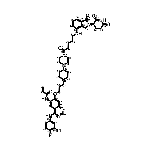 C=CC(=O)Nc1cc2c(Nc3ccc(F)c(Cl)c3)ncnc2cc1OCCCN1CCC(N2CCN(C(=O)CCCCNc3cccc4c3CN(C3CCC(=O)NC3=O)C4=O)CC2)CC1